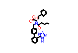 CCCCC(=O)N(Cc1ccc(-c2ccccc2-c2nnn[nH]2)cc1)[C@@H](CCc1ccccc1)C(=O)O